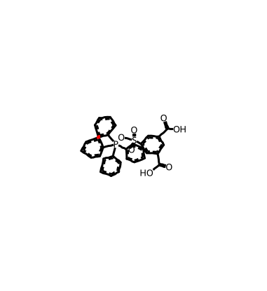 O=C(O)c1cc(C(=O)O)cc(S(=O)(=O)OP(c2ccccc2)(c2ccccc2)(c2ccccc2)c2ccccc2)c1